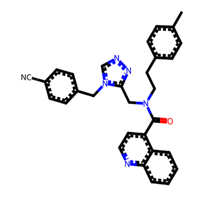 Cc1ccc(CCN(Cc2nncn2Cc2ccc(C#N)cc2)C(=O)c2ccnc3ccccc23)cc1